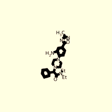 CCN(CC)C(=O)C(c1ccccc1)N1CCN(c2ccc(-c3nc(C)no3)cc2N)CC1